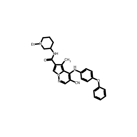 CCN1CCCC(NC(=O)c2cn3ncc(C#N)c(Nc4ccc(Oc5ccccc5)cc4)c3c2C)C1